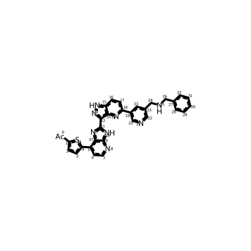 CC(=O)c1ccc(-c2ccnc3[nH]c(-c4n[nH]c5ccc(-c6cncc(CNCc7ccccc7)c6)nc45)nc23)s1